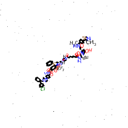 Cc1ncsc1-c1ccc([C@H](C)NC(=O)C[C@@H]2C[C@@H](O)CN2C(=O)[C@@H](NC(=O)CCCCCC(=O)N2C[C@@H]3C[C@H]2CN3CC[C@H](CSc2ccccc2)Nc2ccc(S(=O)(=O)NC(=O)c3ccc(N4CCN(CC5=C(c6ccc(Cl)cc6)CCCCC5)CC4)cc3)cc2S(=O)(=O)C(F)(F)F)C(C)(C)C)cc1